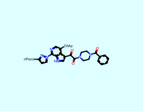 CCCCCc1ccn(-c2ncc(OC)c3c(C(=O)C(=O)N4CCN(C(=O)c5ccccc5)CC4)c[nH]c23)n1